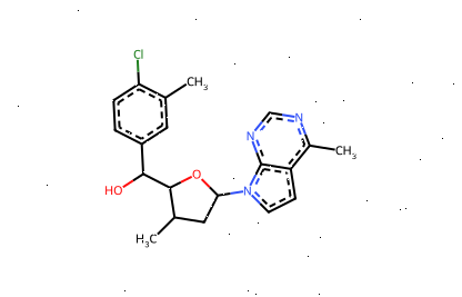 Cc1cc(C(O)C2OC(n3ccc4c(C)ncnc43)CC2C)ccc1Cl